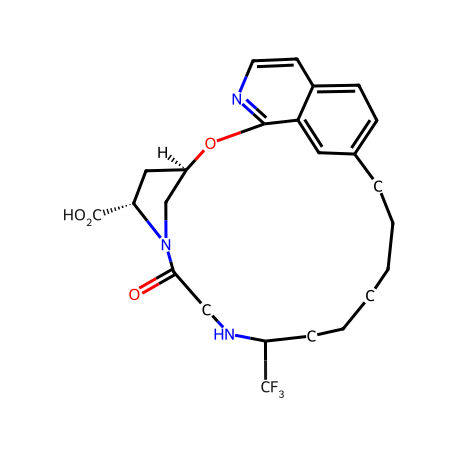 O=C(O)[C@@H]1C[C@@H]2CN1C(=O)CNC(C(F)(F)F)CCCCCCc1ccc3ccnc(c3c1)O2